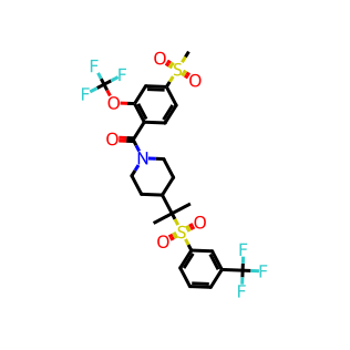 CC(C)(C1CCN(C(=O)c2ccc(S(C)(=O)=O)cc2OC(F)(F)F)CC1)S(=O)(=O)c1cccc(C(F)(F)F)c1